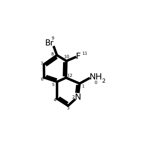 Nc1nccc2ccc(Br)c(F)c12